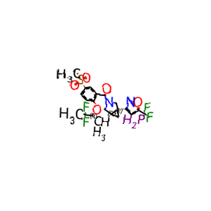 C[C@@H](Oc1ccc(S(C)(=O)=O)cc1C(=O)N1C[C@@H]2C[C@]2(c2cc(C(F)(F)P)on2)C1)C(C)(F)F